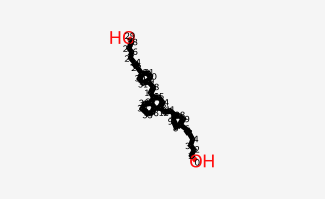 OCCCCC#Cc1ccc(/C=C/c2ccc(/C=C/c3ccc(C#CCCCCO)cc3)c3ccccc23)cc1